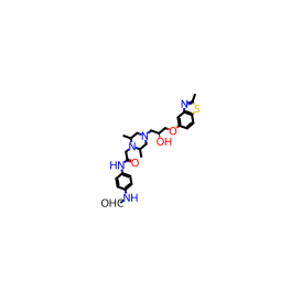 Cc1nc2cc(OC[C@@H](O)CN3CC(C)N(CC(=O)Nc4ccc(NC=O)cc4)C(C)C3)ccc2s1